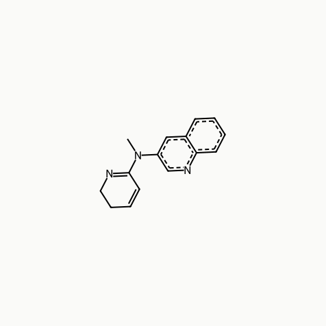 CN(C1=NCCC=C1)c1cnc2ccccc2c1